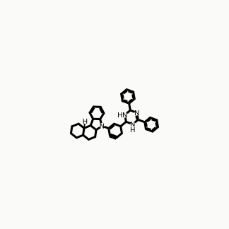 C1#CC(N2C3C=CC=CC3C3C2CCC2CCCC[C@@H]23)=CC(C2NC(c3ccccc3)=NC(c3ccccc3)N2)C1